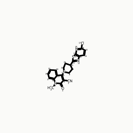 Cn1c(=O)c(C#N)c(N2CCC(c3nc4ccc(Cl)nc4s3)CC2)c2ccccc21